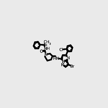 C[C@@H](NC(=O)N1CCCC(CNc2cc(-c3ccccc3Cl)nc3c(Br)cnn23)C1)c1ccccc1